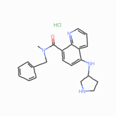 CN(Cc1ccccc1)C(=O)c1ccc(NC2CCNC2)c2cccnc12.Cl